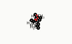 CC1(C)c2ccccc2-c2ccc(N(c3ccc4c(c3)C(C)(C)c3ccccc3-4)c3ccc4cccc5c4c3-c3cccc(-c4ccccc4)c3C5(C)C)cc21